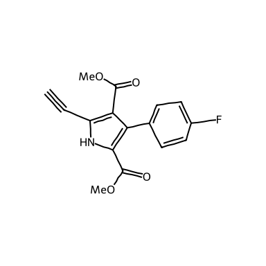 C#Cc1[nH]c(C(=O)OC)c(-c2ccc(F)cc2)c1C(=O)OC